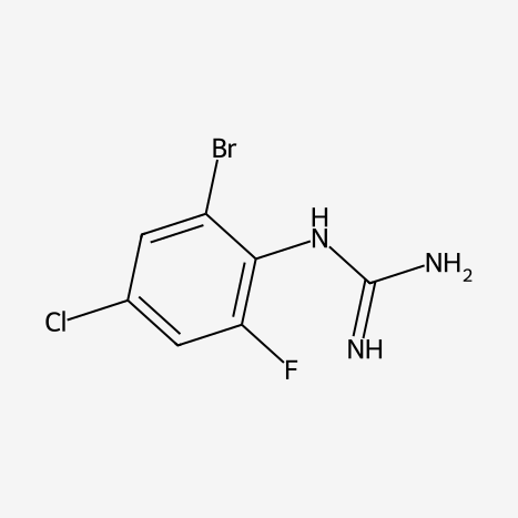 N=C(N)Nc1c(F)cc(Cl)cc1Br